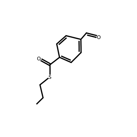 CCCSC(=O)c1ccc(C=O)cc1